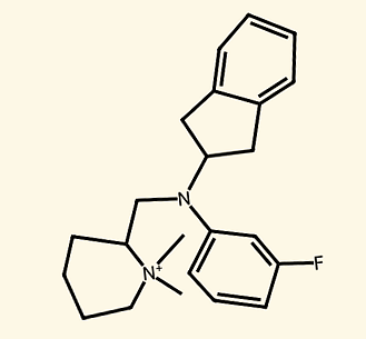 C[N+]1(C)CCCCC1CN(c1cccc(F)c1)C1Cc2ccccc2C1